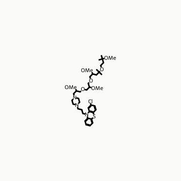 COC(COCC(CN1CCN(CCCN2c3ccccc3Sc3ccc(Cl)cc32)CC1)OC)COCC(CC(C)(C)OCCC(C)(C)OC)OC